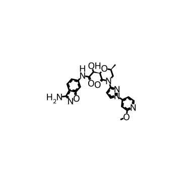 COc1cc(-n2ccc(N3C[C@H](C)O[C@H](C(O)C(=O)Nc4ccc5c(N)noc5c4)C3=O)n2)ccn1